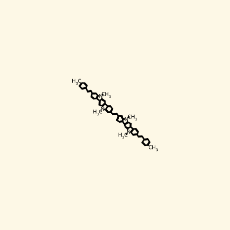 Cc1ccc(/C=C/c2ccc3c4cc5c(cc4n(C)c3c2)c2ccc(/C=C/c3ccc4c6cc7c(cc6n(C)c4c3)c3ccc(/C=C/c4ccc(C)cc4)cc3n7C)cc2n5C)cc1